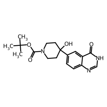 CC(C)(C)OC(=O)N1CCC(O)(c2ccc3nc[nH]c(=O)c3c2)CC1